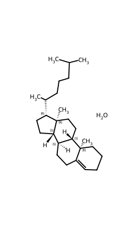 CC(C)CCCC(C)[C@H]1CC[C@H]2[C@@H]3CCC4=CCCC[C@]4(C)[C@H]3CC[C@]12C.O